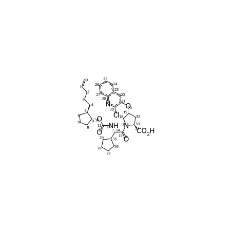 C=CCCC[C@@H]1CCC[C@H]1OC(=O)N[C@H](C(=O)N1C[C@H](Oc2cc3ccccc3nc2Cl)C[C@H]1C(=O)O)C1CCCC1